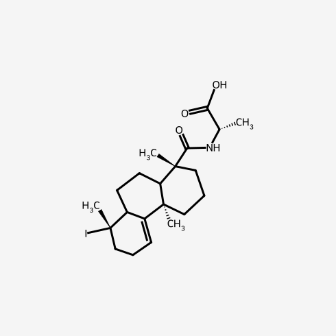 C[C@H](NC(=O)[C@]1(C)CCC[C@@]2(C)C3=CCC[C@](C)(I)C3CCC12)C(=O)O